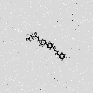 O=C(CCN1CCC(c2ccc(OCCCc3ccccc3)cc2)CC1)OC(=O)C(F)(F)F